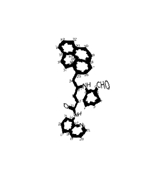 O=Cc1ccccc1NC(CCC(=O)Nc1cccc2cccnc12)Cc1ccc2ccc3cccc4ccc1c2c34